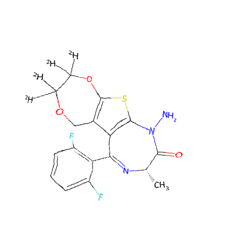 [2H]C1([2H])OCc2c(sc3c2C(c2c(F)cccc2F)=N[C@@H](C)C(=O)N3N)OC1([2H])[2H]